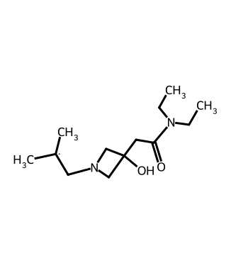 CCN(CC)C(=O)CC1(O)CN(C[C](C)C)C1